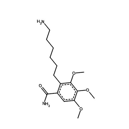 COc1cc(C(N)=O)c(CCCCCCN)c(OC)c1OC